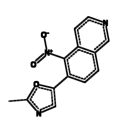 Cc1ncc(-c2ccc3cnccc3c2[N+](=O)[O-])o1